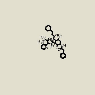 CC[C@H](C)[C@H](N)C(=O)C(NC(=O)[C@]1(C(C)C)C(=O)C(NC(=O)Cc2ccccc2)CC(=O)C1[C@H](O)[C@@H](N)CCC1CCCCC1)c1ccccn1